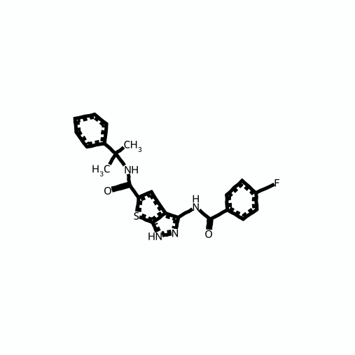 CC(C)(NC(=O)c1cc2c(NC(=O)c3ccc(F)cc3)n[nH]c2s1)c1ccccc1